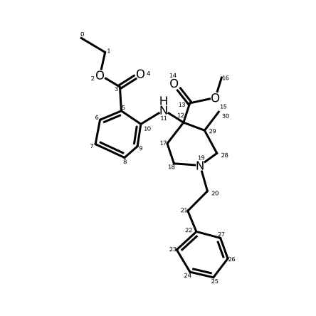 CCOC(=O)c1ccccc1NC1(C(=O)OC)CCN(CCc2ccccc2)CC1C